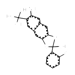 CC(C)(O)c1cc2cc3c(cc2cc1N)OC(C)(c1ccccc1Cl)O3